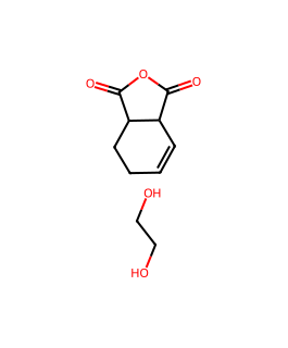 O=C1OC(=O)C2CCC=CC12.OCCO